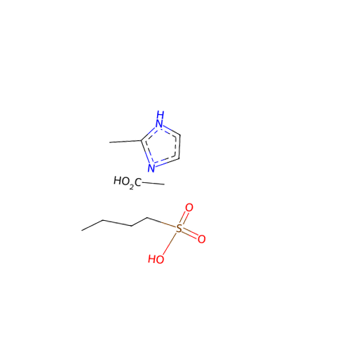 CC(=O)O.CCCCS(=O)(=O)O.Cc1ncc[nH]1